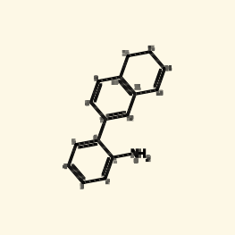 Nc1ccccc1-c1ccc2c(c1)C=CCC2